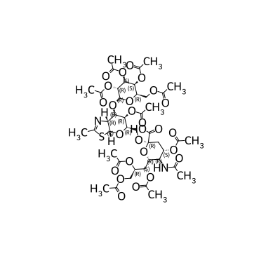 CC(=O)N[C@H]1[C@H]([C@H](OC(C)=O)[C@@H](COC(C)=O)OC(C)=O)O[C@@](OC[C@H]2O[C@@H]3SC(C)=N[C@@H]3[C@@H](O[C@@H]3O[C@H](COC(C)=O)[C@H](OC(C)=O)[C@H](OC(C)=O)[C@H]3OC(C)=O)[C@H]2OC(C)=O)(C(=O)O)C[C@@H]1OC(C)=O